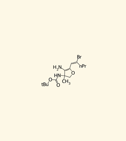 CCC/C(Br)=C\C1=C(N)C(C)(NC(=O)OC(C)(C)C)CO1